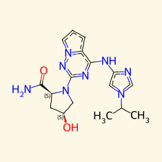 CC(C)n1cnc(Nc2nc(N3C[C@@H](O)C[C@H]3C(N)=O)nn3cccc23)c1